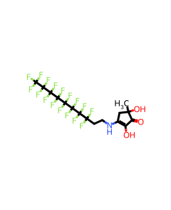 CC1(O)CC(NCCC(F)(F)C(F)(F)C(F)(F)C(F)(F)C(F)(F)C(F)(F)C(F)(F)C(F)(F)F)=C(O)C1=O